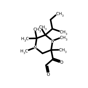 CCC(C)C1(C)N(C)C(C)(C(=O)C=O)CN(C)C1(C)C